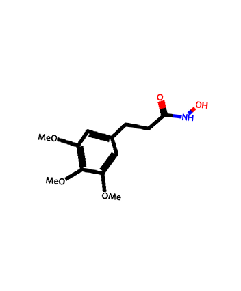 COc1cc(CCC(=O)NO)cc(OC)c1OC